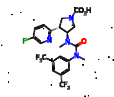 CN(C(=O)N(C)[C@@H]1CN(C(=O)O)C[C@H]1c1ccc(F)cn1)c1cc(C(F)(F)F)cc(C(F)(F)F)c1